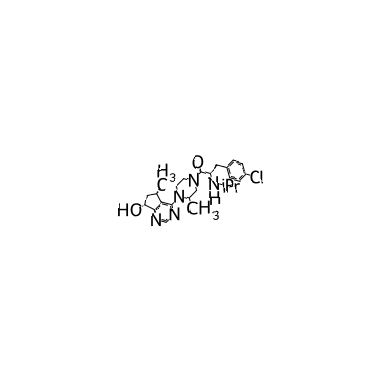 CC(C)N[C@H](Cc1ccc(Cl)cc1)C(=O)N1CCN(c2ncnc3c2[C@H](C)C[C@H]3O)C(C)C1